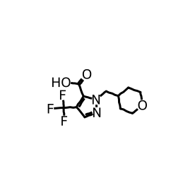 O=C(O)c1c(C(F)(F)F)cnn1CC1CCOCC1